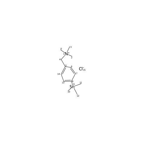 C[N+](C)(C)Cc1cc[c]([Sn]([CH3])([CH3])[CH3])cc1.[Cl-]